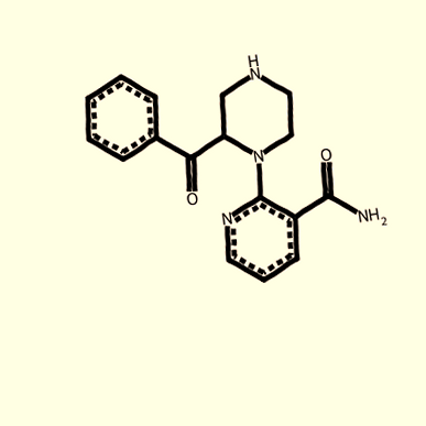 NC(=O)c1cccnc1N1CCNCC1C(=O)c1ccccc1